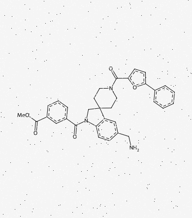 COC(=O)c1cccc(C(=O)N2CC3(CCN(C(=O)c4ccc(-c5ccccc5)o4)CC3)c3cc(CN)ccc32)c1